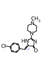 CN1CCN(C2=NC(=O)/C(=C/c3ccc(Cl)cc3)N2)CC1